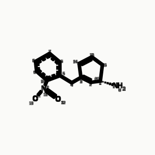 N[C@@H]1C=C(Cc2ccccc2[N+](=O)[O-])C=CC1